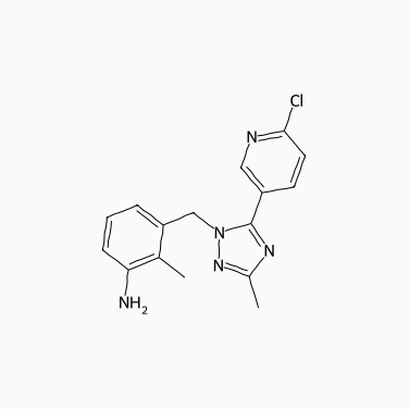 Cc1nc(-c2ccc(Cl)nc2)n(Cc2cccc(N)c2C)n1